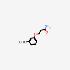 NC(=O)CCOc1cccc(C=O)c1